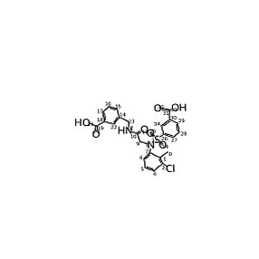 Cc1c(Cl)cccc1N(CC(=O)NCc1cccc(C(=O)O)c1)S(=O)(=O)c1cccc(C(=O)O)c1